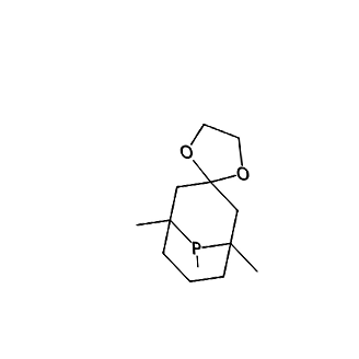 CP1C2(C)CCCC1(C)CC1(C2)OCCO1